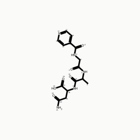 CC(NC(=O)CNC(=O)c1ccncc1)C(=O)NC(CC(N)=O)C(=O)O